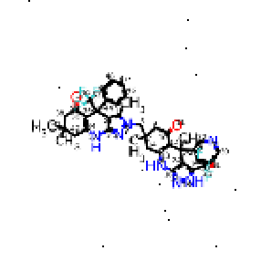 Cc1c2c(nn1CC1(C)CC(=O)C3=C(C1)Nc1n[nH]c(C(F)(F)F)c1C3(C)c1cccnc1)NC1=C(C(=O)CC(C)(C)C1)C2(c1ccccc1)C(F)(F)F